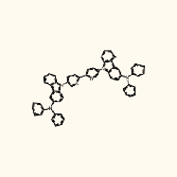 c1ccc(N(c2ccccc2)c2ccc3c(c2)c2ccccc2n3-c2ccc(-c3ccc(-n4c5ccccc5c5cc(N(c6ccccc6)c6ccccc6)ccc54)cn3)nc2)cc1